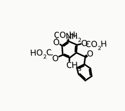 Cc1c(OC(=O)O)c(OC(=O)O)c(N)c(OC(=O)O)c1C(=O)c1ccccc1